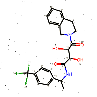 CC(NC(=O)[C@H](O)[C@@H](O)C(=O)N1CCc2ccccc2C1)c1ccc(C(F)(F)F)cc1